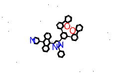 c1ccc(-c2nc(-c3cc(-c4cccc5c4oc4ccccc45)cc(-c4cccc5c4oc4ccccc45)c3)cc(-c3c4ccccc4c(-c4ccncc4)c4ccccc34)n2)cc1